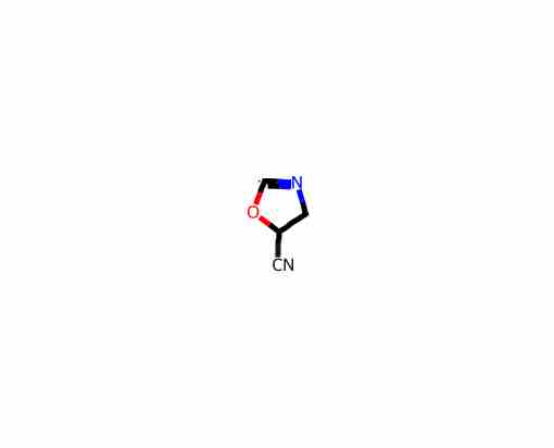 N#CC1CN=[C]O1